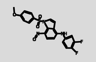 COc1ccc(S(=O)(=O)n2ccc3c(Nc4ccc(F)c(F)c4)ccc(N=O)c32)cc1